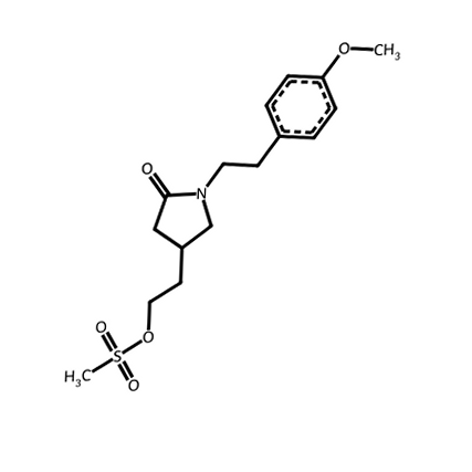 COc1ccc(CCN2CC(CCOS(C)(=O)=O)CC2=O)cc1